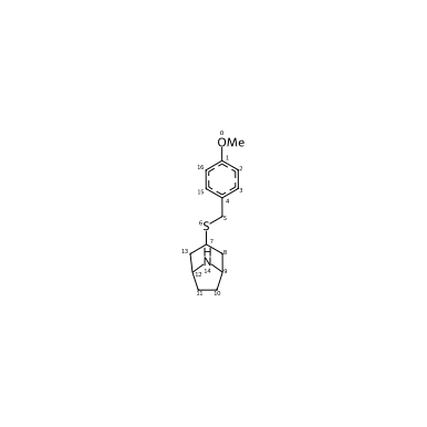 COc1ccc(CSC2CC3CCC(C2)N3)cc1